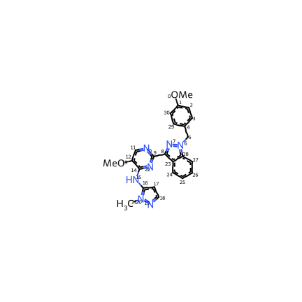 COc1ccc(Cn2nc(-c3ncc(OC)c(Nc4ccnn4C)n3)c3ccccc32)cc1